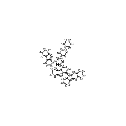 C1=C(c2nc(-c3ccc(-c4ccccc4)cc3)nc(-c3cccc4c3sc3ccccc34)n2)C2c3ccccc3OC2C(n2c3ccccc3c3cc4ccccc4cc32)=C1